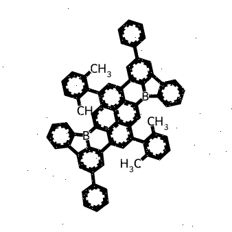 Cc1cccc(C)c1-c1cc2c3c(cc4c(-c5c(C)cccc5C)cc5c6c(cc1c3c46)B1c3ccccc3-c3cc(-c4ccccc4)cc-5c31)B1c3ccccc3-c3cc(-c4ccccc4)cc-2c31